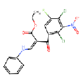 CCOC(=O)C(=CNc1ccccc1)C(=O)c1cc(F)c(Cl)c([N+](=O)[O-])c1Cl